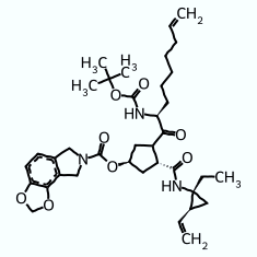 C=CCCCCC[C@H](NC(=O)OC(C)(C)C)C(=O)C1C[C@H](OC(=O)N2Cc3ccc4c(c3C2)OCO4)C[C@H]1C(=O)N[C@]1(CC)C[C@H]1C=C